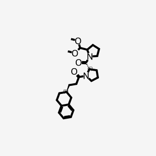 COC(OC)C1CCCN1C(=O)[C@@H]1CCCN1C(=O)CC[C@@H]1CCc2ccccc2C1